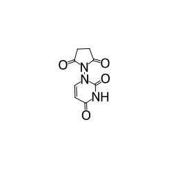 O=C1CCC(=O)N1n1ccc(=O)[nH]c1=O